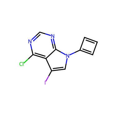 Clc1ncnc2c1c(I)cn2C1=CC=C1